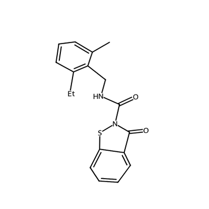 CCc1cccc(C)c1CNC(=O)n1sc2ccccc2c1=O